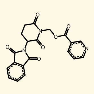 O=C(OCN1C(=O)CCC(N2C(=O)c3ccccc3C2=O)C1=O)c1cccnc1